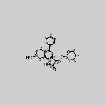 CN1CCc2c(-c3ccccc3)cc3c(c2C1)NC(=O)/C3=N/OC1CCCCO1